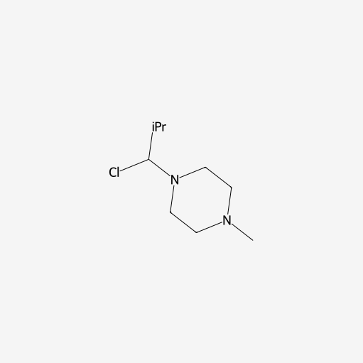 CC(C)C(Cl)N1CCN(C)CC1